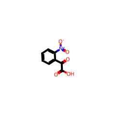 O=C(O)C(=O)c1ccccc1[N+](=O)[O-]